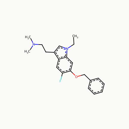 CCn1cc(CCN(C)C)c2cc(F)c(OCc3ccccc3)cc21